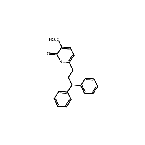 O=C(O)c1ccc(CCC(c2ccccc2)c2ccccc2)[nH]c1=O